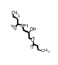 CCCC(=O)OC[C@H](O)CNC(O)CCC